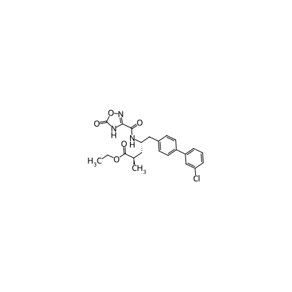 CCOC(=O)[C@H](C)C[C@@H](Cc1ccc(-c2cccc(Cl)c2)cc1)NC(=O)c1noc(=O)[nH]1